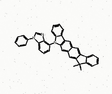 CC1(C)c2ccccc2-c2cc3cc4c5ccccc5n(-c5cccc6c5ncn6-c5ccccc5)c4cc3cc21